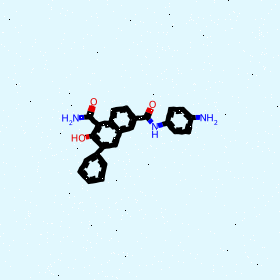 NC(=O)c1c(O)c(-c2ccccc2)cc2cc(C(=O)Nc3ccc(N)cc3)ccc12